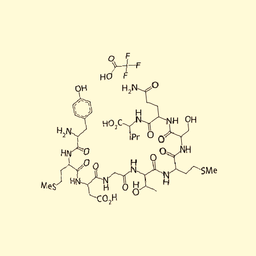 CSCCC(NC(=O)C(N)Cc1ccc(O)cc1)C(=O)NC(CC(=O)O)C(=O)NCC(=O)NC(C(=O)NC(CCSC)C(=O)NC(CO)C(=O)NC(CCC(N)=O)C(=O)NC(C(=O)O)C(C)C)C(C)O.O=C(O)C(F)(F)F